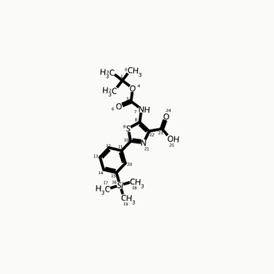 CC(C)(C)OC(=O)Nc1sc(-c2cccc([Si](C)(C)C)c2)nc1C(=O)O